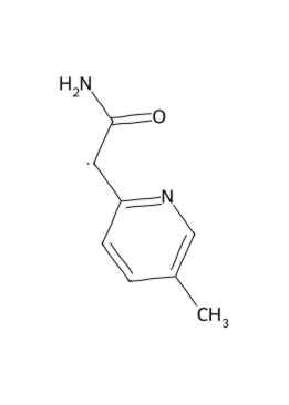 Cc1ccc([CH]C(N)=O)nc1